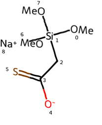 CO[Si](CC([O-])=S)(OC)OC.[Na+]